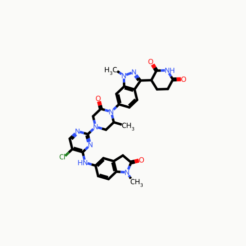 CC1CN(c2ncc(Cl)c(Nc3ccc4c(c3)CC(=O)N4C)n2)CC(=O)N1c1ccc2c(C3CCC(=O)NC3=O)nn(C)c2c1